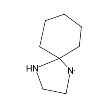 C1CCC2(CC1)[N]CCN2